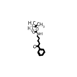 CC(C)(C)OC(=O)NCCCCC(=O)c1ccccc1